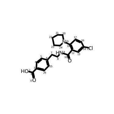 O=C(O)c1ccc(CCNC(=O)c2cc(Cl)ccc2N2CCCCC2)cc1